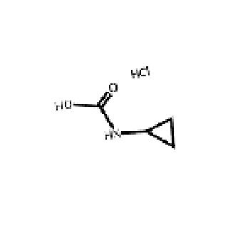 Cl.O=C(O)NC1CC1